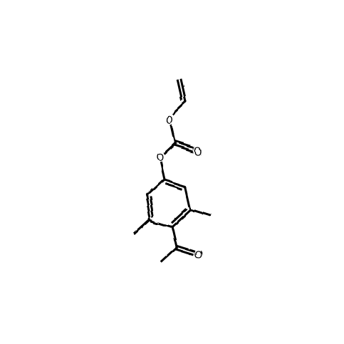 C=COC(=O)Oc1cc(C)c(C(C)=O)c(C)c1